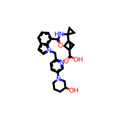 O=C(NC1(C23CC(C(=O)O)(C2)C3)CC1)c1cccc2ccn(Cc3ccc(N4CCCC(O)C4)cn3)c12